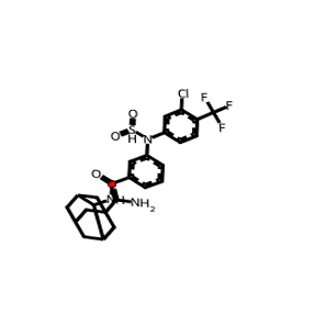 NC(=O)C12CC3CC(C1)C(NC(=O)c1cccc(N(c4ccc(C(F)(F)F)c(Cl)c4)[SH](=O)=O)c1)C(C3)C2